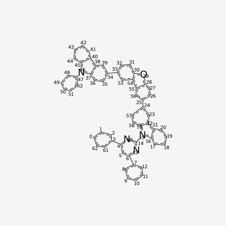 c1ccc(-c2cc(-c3ccccc3)nc(-n3c4ccccc4c4cc(-c5ccc6oc7ccc(-c8ccc9c(c8)c8ccccc8n9-c8ccccc8)cc7c6c5)ccc43)n2)cc1